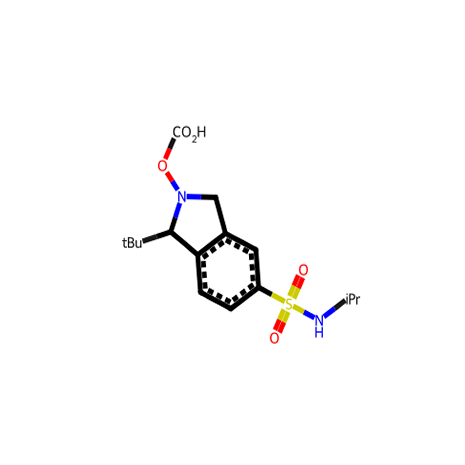 CC(C)NS(=O)(=O)c1ccc2c(c1)CN(OC(=O)O)C2C(C)(C)C